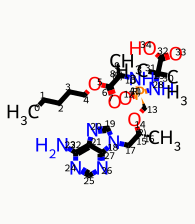 CCCCCOC(=O)[C@@H](C)N[P@](=O)(CO[C@H](C)Cn1cnc2c(N)ncnc21)NC(C)(C)C(=O)O